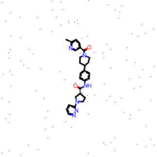 Cc1ccc(C(=O)N2CCC(c3ccc(NC(=O)[C@H]4CCN(c5cccnn5)C4)cc3)CC2)cn1